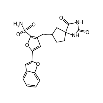 NS(=O)(=O)c1oc(-c2cc3ccccc3o2)cc1CC1CCC2(C1)NC(=O)NC2=O